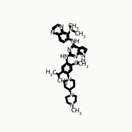 COc1cc(N2CCC(N3CCN(C)CC3)CC2)c(C(C)C)cc1Nc1nc(Nc2ccc3nccnc3c2N(C)C)c2cc[nH]c2n1